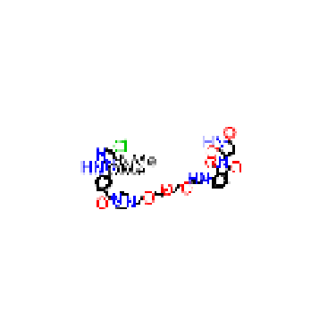 CNc1nc(Nc2ccc(C(=O)N3CCN(CCOCCOCCOCCNc4cccc5c4C(=O)N(C4CCC(=O)NC4=O)C5=O)CC3)cc2OC)ncc1Cl